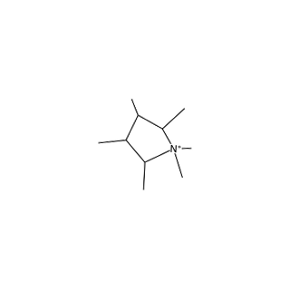 CC1C(C)C(C)[N+](C)(C)C1C